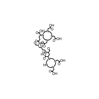 O=CC(CC(C(=O)O)N1CCNCCN(CC(=O)O)CCN(CC(=O)O)CC1)NCCCC[C@@H](C=O)NC(=O)CCC(C(=O)O)N1CCN(CC(=O)O)CCN(CC(=O)O)CCN(CC(=O)O)CC1